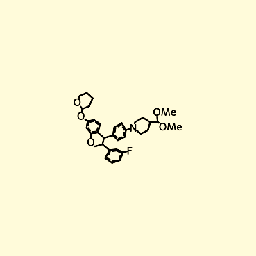 COC(OC)C1CCN(c2ccc(C3c4ccc(OC5CCCCO5)cc4OCC3c3cccc(F)c3)cc2)CC1